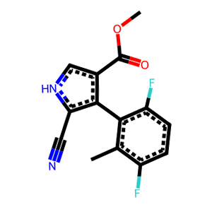 COC(=O)c1c[nH]c(C#N)c1-c1c(F)ccc(F)c1C